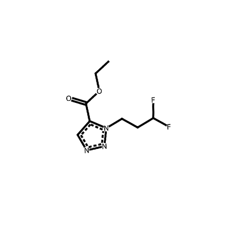 CCOC(=O)c1cnnn1CCC(F)F